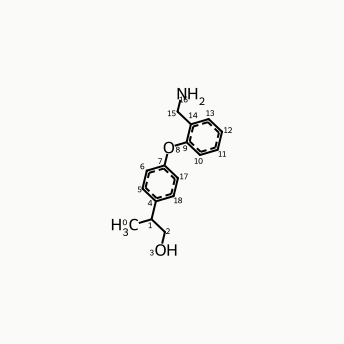 CC(CO)c1ccc(Oc2ccccc2CN)cc1